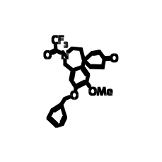 COc1cc2c(cc1OCc1ccccc1)CN(C(=O)C(F)(F)F)CCC21C=CC(=O)C=C1